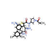 C=CC(=O)N1CCC(NC(=O)c2sc3c(N)ccc4c3c2C(N)C(=O)C4(N)c2ccc(CC)cc2C)C1